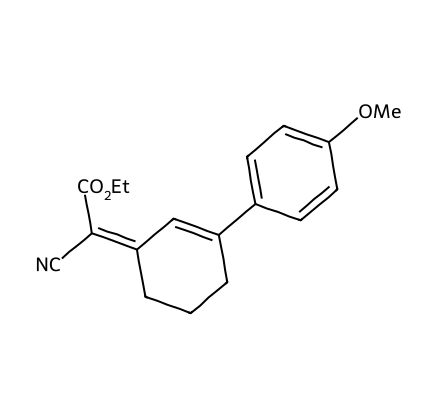 CCOC(=O)C(C#N)=C1C=C(c2ccc(OC)cc2)CCC1